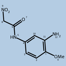 COc1ccc(NC(=O)C[N+](=O)[O-])cc1N